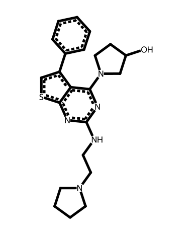 OC1CCN(c2nc(NCCN3CCCC3)nc3scc(-c4ccccc4)c23)C1